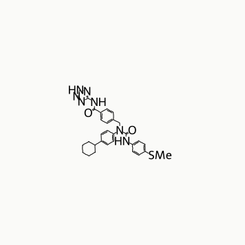 CSc1ccc(NC(=O)N(Cc2ccc(C(=O)Nc3nn[nH]n3)cc2)c2ccc(C3CCCCC3)cc2)cc1